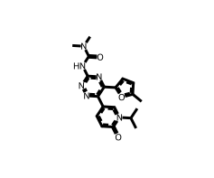 Cc1ccc(-c2nc(NC(=O)N(C)C)nnc2-c2ccc(=O)n(C(C)C)c2)o1